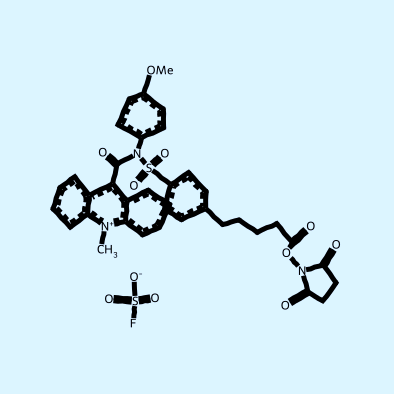 COc1ccc(N(C(=O)c2c3ccccc3[n+](C)c3ccccc23)S(=O)(=O)c2ccc(CCCCC(=O)ON3C(=O)CCC3=O)cc2)cc1.O=S(=O)([O-])F